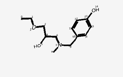 CCOCC(O)CN(C)Cc1ccc(O)cc1